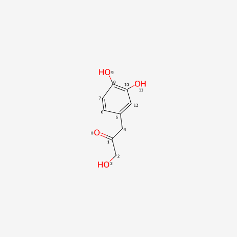 O=C(CO)Cc1ccc(O)c(O)c1